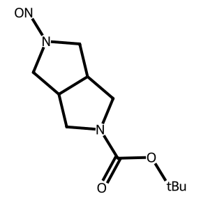 CC(C)(C)OC(=O)N1CC2CN(N=O)CC2C1